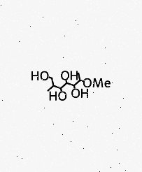 COC(C)C(O)C(O)C(O)C(C)CO